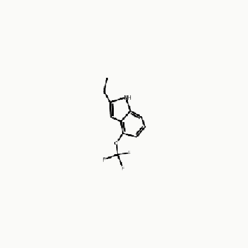 CCc1cc2c(OC(F)(F)F)cccc2[nH]1